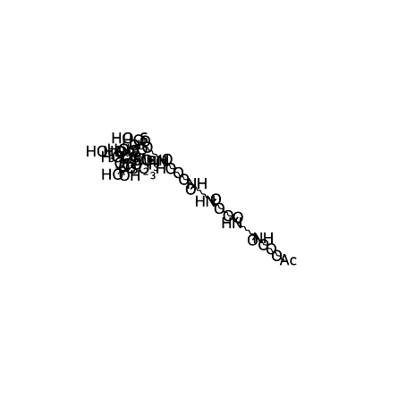 COC(C(=O)O)C(OC1OC(COS(=O)(=O)O)C(O)C(O)C1C)C(O)C(OC1C(COS(=O)(=O)O)OC(OC2C(C(=O)O)OC(OCCCCCCNC(=O)CCOCCOCCOCCNC(=O)CCCCCCCNC(=O)CCOCCCOCCC(=O)NCCCCCCCC(=O)NCCOCCOCCOCCC(C)=O)C(OS(=O)(=O)O)C2O)C(C)C1O)OS(=O)(=O)O